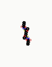 O=c1c(=Nc2nc3c(s2)C2=CC4C=C5OC6(CCCCC6)c6nc(N=c7c(=O)c8cc9ccccc9cc8c7=O)sc6C5CC4C=C2OC32CCCCC2)c(=O)c2cc3ccccc3cc12